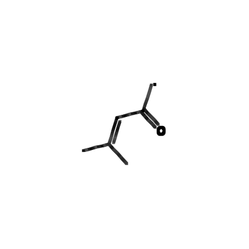 [CH2]C(=O)C=C(C)C